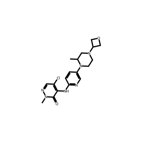 CC1CN(C2COC2)CCN1c1ccc(Nc2c(Cl)cnn(C)c2=O)nc1